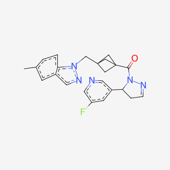 Cc1ccc2c(cnn2CC23CC(C(=O)N4N=CCC4c4cncc(F)c4)(C2)C3)c1